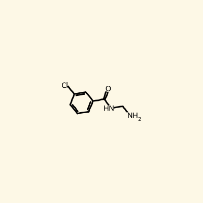 NCNC(=O)c1cccc(Cl)c1